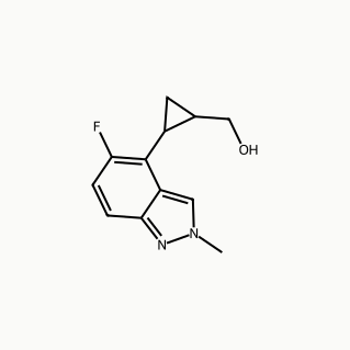 Cn1cc2c(C3CC3CO)c(F)ccc2n1